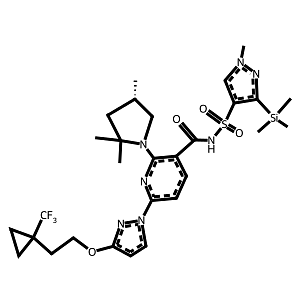 C[C@@H]1CN(c2nc(-n3ccc(OCCC4(C(F)(F)F)CC4)n3)ccc2C(=O)NS(=O)(=O)c2cn(C)nc2[Si](C)(C)C)C(C)(C)C1